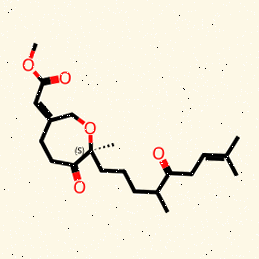 COC(=O)C=C1CCC(=O)[C@](C)(CCCC(C)C(=O)CC=C(C)C)OC1